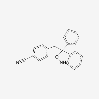 N#Cc1ccc(CC(O[NH])(c2ccccc2)c2ccccc2)cc1